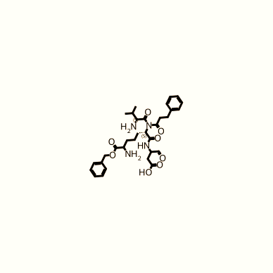 CC(C)[C@H](N)C(=O)N(C(=O)CCc1ccccc1)[C@@H](CCCC(N)C(=O)OCc1ccccc1)C(=O)NC(C=O)CC(=O)O